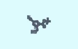 CC(C)(C)OC(=O)N1C[C@H](C#N)C[C@@H]1CO